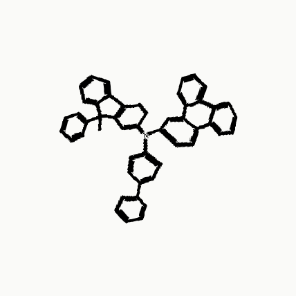 CC1(c2ccccc2)C2=C(CCC(N(c3ccc(-c4ccccc4)cc3)c3ccc4c5ccccc5c5ccccc5c4c3)=C2)c2ccccc21